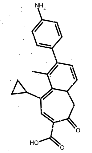 CC1=C(c2ccc(N)cc2)C=CC2CC(=O)C(C(=O)O)=CC(C3CC3)=C12